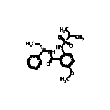 CC[C@H](NC(=O)c1cc(OC)ccc1NS(=O)(=O)C(C)C)c1ccccc1